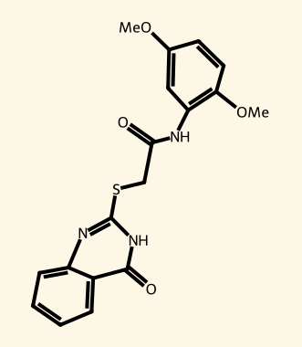 COc1ccc(OC)c(NC(=O)CSc2nc3ccccc3c(=O)[nH]2)c1